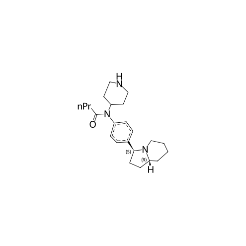 CCCC(=O)N(c1ccc([C@@H]2CC[C@H]3CCCCN32)cc1)C1CCNCC1